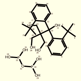 CC(C)(C)c1ccccc1C(O)(c1ccccc1C(C)(C)C)C(CO)(CO)CO.OP(O)OP(O)O